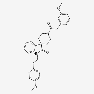 COc1ccc(CCNC(=O)C2(c3ccccc3)CCN(C(=O)Cc3cccc(OC)c3)CC2)cc1